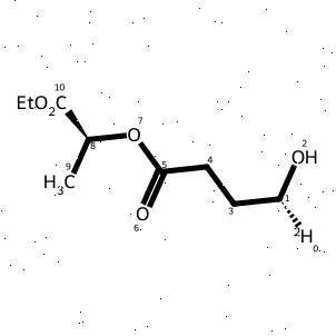 [2H][C@@H](O)CCC(=O)O[C@@H](C)C(=O)OCC